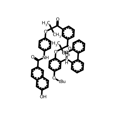 CC(C)(C)Oc1ccc(OC(C)(C)C(=O)c2cccc(C(=O)C(C)(C)Oc3ccc(NC(=O)c4ccc5cc(O)ccc5c4)cc3)c2)c([PH](=O)c2ccccc2-c2ccccc2O)c1